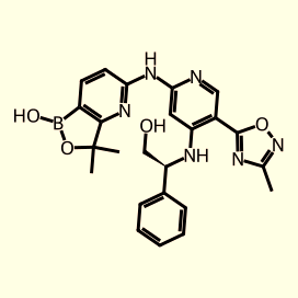 Cc1noc(-c2cnc(Nc3ccc4c(n3)C(C)(C)OB4O)cc2N[C@H](CO)c2ccccc2)n1